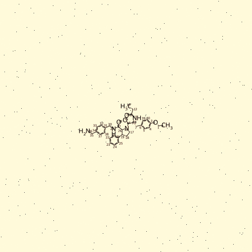 CCOc1ccc(C[C@@H](NC(=O)CC)C(=O)N2CCC(c3ccccc3)C2C(=O)NCc2ccc(CN)cc2)cc1